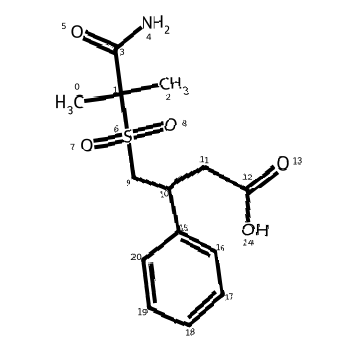 CC(C)(C(N)=O)S(=O)(=O)CC(CC(=O)O)c1ccccc1